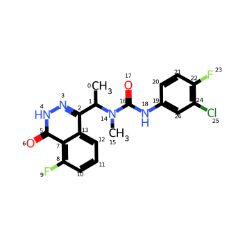 CC(c1n[nH]c(=O)c2c(F)cccc12)N(C)C(=O)Nc1ccc(F)c(Cl)c1